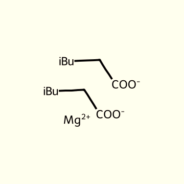 CCC(C)CC(=O)[O-].CCC(C)CC(=O)[O-].[Mg+2]